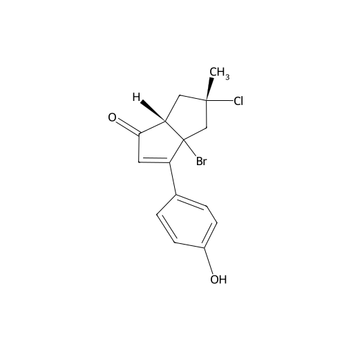 C[C@]1(Cl)C[C@H]2C(=O)C=C(c3ccc(O)cc3)C2(Br)C1